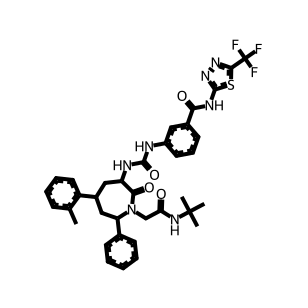 Cc1ccccc1C1CC(NC(=O)Nc2cccc(C(=O)Nc3nnc(C(F)(F)F)s3)c2)C(=O)N(CC(=O)NC(C)(C)C)C(c2ccccc2)C1